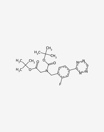 CC(C)(C)OC(=O)CN(Cc1ccc(-c2nncnn2)cc1F)C(=O)OC(C)(C)C